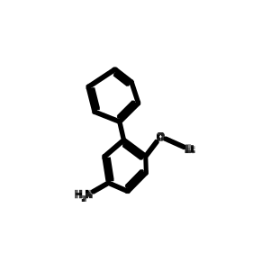 CCOc1ccc(N)cc1-c1ccccc1